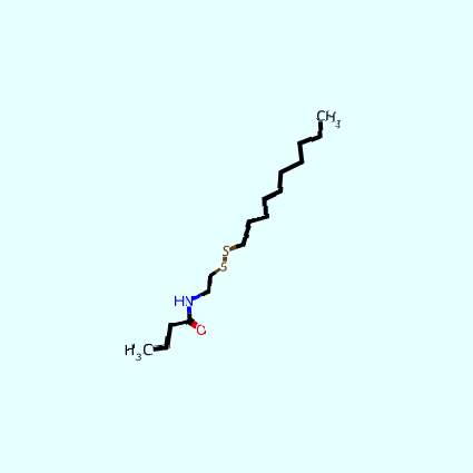 CCCCCCCCCCSSCCNC(=O)CCC